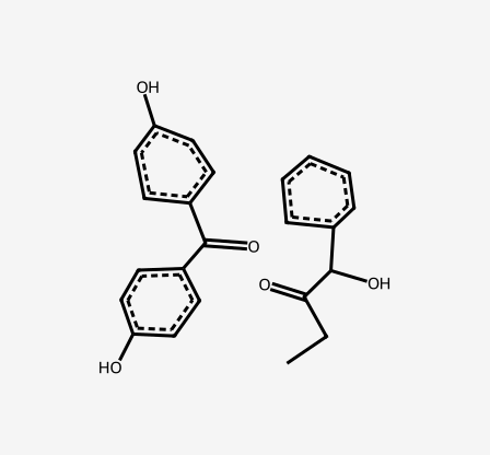 CCC(=O)C(O)c1ccccc1.O=C(c1ccc(O)cc1)c1ccc(O)cc1